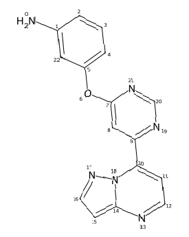 Nc1cccc(Oc2cc(-c3ccnc4ccnn34)ncn2)c1